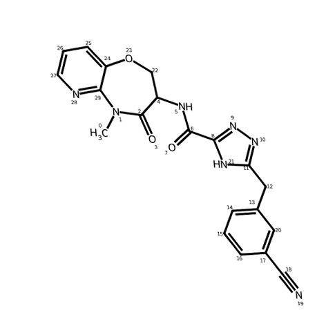 CN1C(=O)C(NC(=O)c2nnc(Cc3cccc(C#N)c3)[nH]2)COc2cccnc21